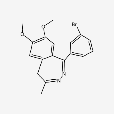 COc1cc2c(cc1OC)C(c1cccc(Br)c1)=NN=C(C)C2